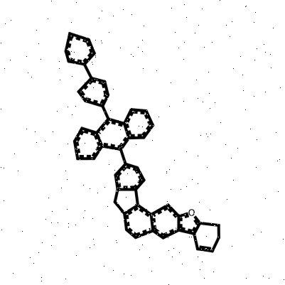 C1=Cc2c(oc3cc4c5c(ccc4cc23)Cc2cc(-c3c4ccccc4c(-c4ccc(-c6ccccc6)cc4)c4ccccc34)ccc2-5)CC1